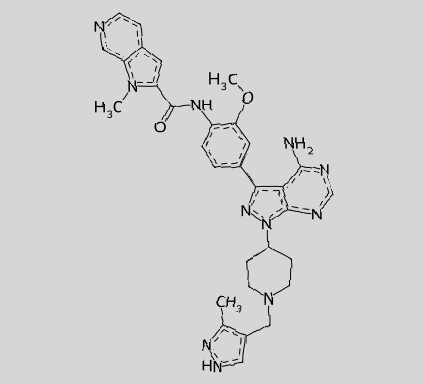 COc1cc(-c2nn(C3CCN(Cc4c[nH]nc4C)CC3)c3ncnc(N)c23)ccc1NC(=O)c1cc2ccncc2n1C